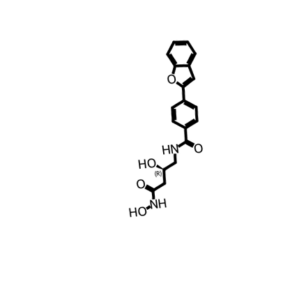 O=C(C[C@@H](O)CNC(=O)c1ccc(-c2cc3ccccc3o2)cc1)NO